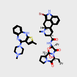 CC(C)C[C@H]1C(=O)N2CCC[C@H]2[C@]2(O)O[C@](NC(=O)[C@@H]3C=C4c5cccc6[nH]c(Br)c(c56)C[C@H]4N(C)C3)(C(C)C)C(=O)N12.Cc1cc2c(s1)Nc1ccccc1N=C2N1CCN(C)CC1